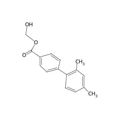 Cc1ccc(-c2ccc(C(=O)OCO)cc2)c(C)c1